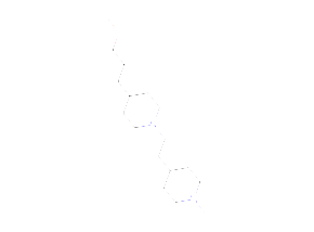 COCCCC1CCN(CCC2CCN(C)CC2)CC1